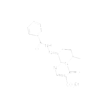 CCOC(=O)c1cnc2n(c1=O)C(C)CC/C2=N\NC(=O)c1ccccc1